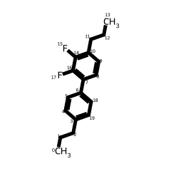 CCCc1ccc(-c2ccc(CCC)c(F)c2F)cc1